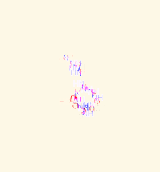 CC[C@H](C)[C@@H]1NC(=O)CNC(=O)[C@H](Cc2c(SC)[nH]c3ccccc23)NC(=O)[C@H]([C@@H](C)[C@@H](O)CO)NC(=O)[C@@H]2CCCN2C(=O)[C@H](CC(=O)NCc2ccc(NC(=O)[C@H](C)NC(=O)CNC(=O)CCN3C(=O)C=CC3=O)cc2)NC(=O)CNC(=O)CNC1=O